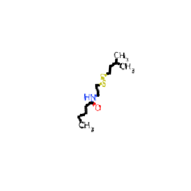 CCCCC(=O)NCCSSCCC(C)C